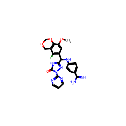 COc1cc(C(Nc2ccc(C(=N)N)cc2)c2nn(-c3ncccn3)c(=O)[nH]2)c(F)c2c1OCOC2